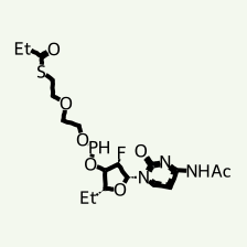 CCC(=O)SCCOCCOPOC1[C@@H](CC)O[C@@H](n2ccc(NC(C)=O)nc2=O)[C@H]1F